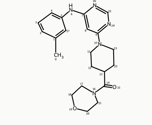 Cc1cccc(Nc2cc(N3CCC(C(=O)N4CCOCC4)CC3)ncn2)c1